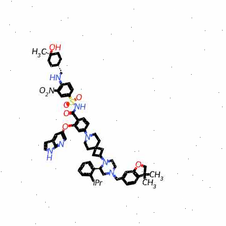 CC(C)c1ccccc1[C@@H]1CN(Cc2ccc3c(c2)OCC3(C)C)CCN1C1CC2(CCN(c3ccc(C(=O)NS(=O)(=O)c4ccc(NC[C@H]5CC[C@](C)(O)CC5)c([N+](=O)[O-])c4)c(Oc4cnc5[nH]ccc5c4)c3)CC2)C1